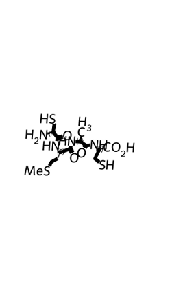 CSCC[C@H](NC(=O)[C@@H](N)CS)C(=O)N[C@@H](C)C(=O)N[C@@H](CS)C(=O)O